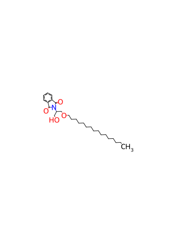 CCCCCCCCCCCCCCCCOCC(CO)N1C(=O)c2ccccc2C1=O